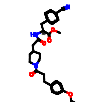 CCOc1ccc(CCC(=O)N2CCC(CC(=O)N[C@@H](Cc3ccc(C#N)cc3)C(=O)OC)CC2)cc1